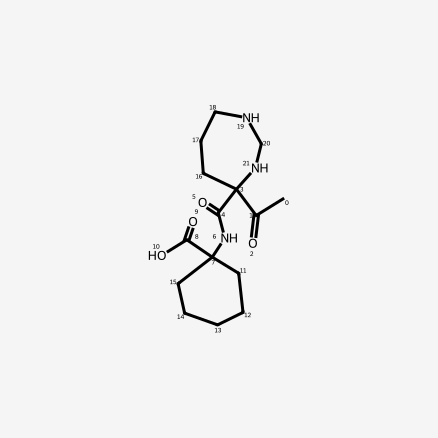 CC(=O)C1(C(=O)NC2(C(=O)O)CCCCC2)CCCNCN1